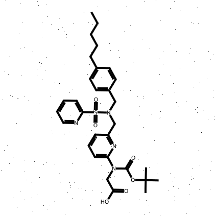 CCCCCc1ccc(CN(Cc2cccc(N(CC(=O)O)C(=O)OC(C)(C)C)n2)S(=O)(=O)c2ccccn2)cc1